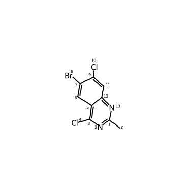 Cc1nc(Cl)c2cc(Br)c(Cl)cc2n1